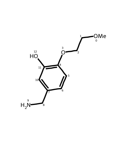 COCCOc1ccc(CN)cc1O